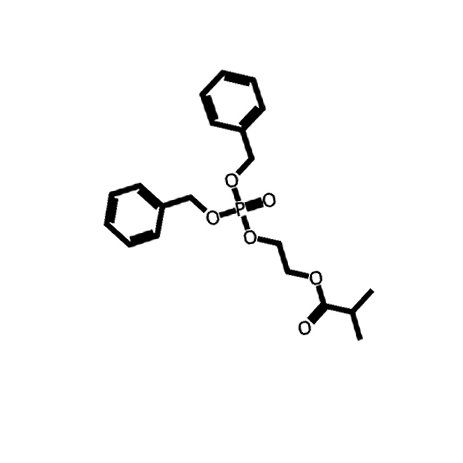 CC(C)C(=O)OCCOP(=O)(OCc1ccccc1)OCc1ccccc1